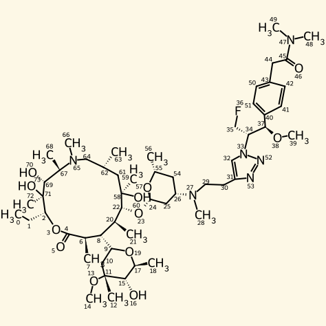 CC[C@H]1OC(=O)[C@H](C)[C@@H](C2C[C@@](C)(OC)[C@@H](O)[C@H](C)O2)[C@H](C)[C@@H](O[C@H]2C[C@@H](N(C)CCc3cn([C@H](CF)[C@H](OC)c4ccc(CC(=O)N(C)C)cc4)nn3)C[C@@H](C)O2)[C@](C)(O)C[C@@H](C)CN(C)[C@H](C)[C@@H](O)[C@]1(C)O